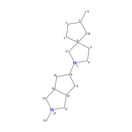 CC1CCC2(CCN(C3CC4CN(C)CC4C3)C2)C1